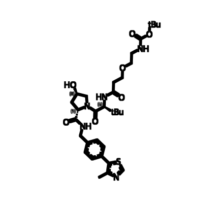 Cc1ncsc1-c1ccc(CNC(=O)[C@@H]2C[C@@H](O)CN2C(=O)[C@@H](NC(=O)CCOCCNC(=O)OC(C)(C)C)C(C)(C)C)cc1